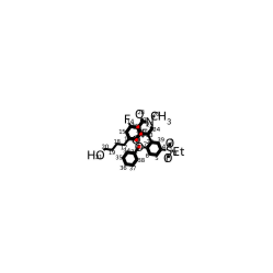 CCS(=O)(=O)c1ccc(Oc2c(F)cc(F)cc2CCCCO)c(-c2cn(C)c(=O)cc2OCc2ccccc2)c1